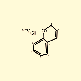 C1=Cc2ccccc2OC1.[Fe].[Si]